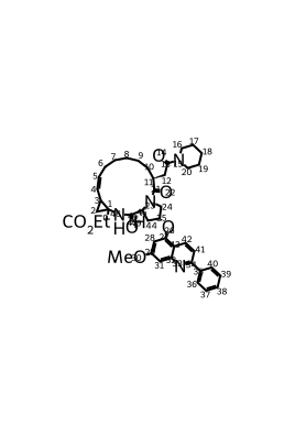 CCOC(=O)C12CC1/C=C\CCCCC[C@@H](CC(=O)N1CCCCC1)C(=O)N1C[C@H](Oc3cc(OC)cc4nc(-c5ccccc5)ccc34)C[C@H]1C(=O)N2